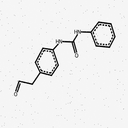 O=[C]Cc1ccc(NC(=O)Nc2ccccc2)cc1